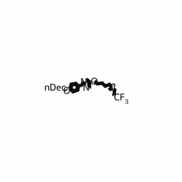 CCCCCCCCCCOc1ccc(-c2ncc(OCCCC[Si](C)(C)CCC(F)(F)F)cn2)cc1